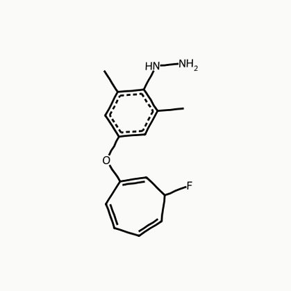 Cc1cc(OC2=CC(F)C=CC=C2)cc(C)c1NN